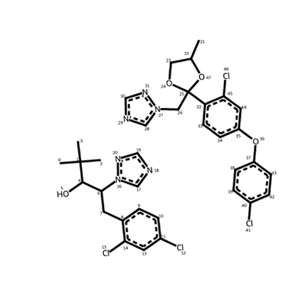 CC(C)(C)C(O)C(Cc1ccc(Cl)cc1Cl)n1cncn1.CC1COC(Cn2cncn2)(c2ccc(Oc3ccc(Cl)cc3)cc2Cl)O1